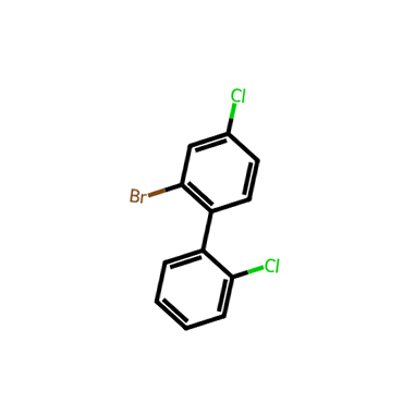 Clc1ccc(-c2ccccc2Cl)c(Br)c1